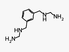 NCNCc1cccc(CNCN)c1